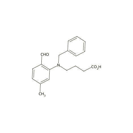 Cc1ccc(C=O)c(N(CCCC(=O)O)Cc2ccccc2)c1